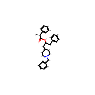 C[C@H](C(=O)OC(Cc1ccccc1)CC1CCN(Cc2ccccc2)CC1)c1ccccc1